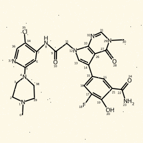 CN1CCN(c2cc(NC(=O)Cn3cc(-c4cc(F)c(O)c(C(N)=O)c4)c4c(=O)n(C)cnc43)c(Cl)cn2)CC1